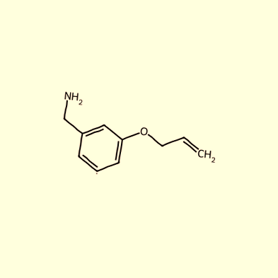 C=CCOc1c[c]cc(CN)c1